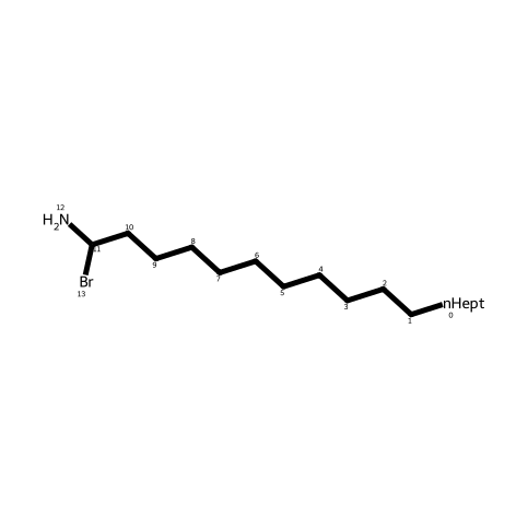 CCCCCCCCCCCCCCCCCC(N)Br